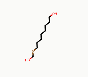 OCCCCCCCCSCO